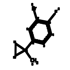 CC1(c2ccc(F)c(Br)c2)CC1